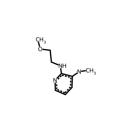 C[N]c1cccnc1NCCOC